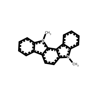 Cn1c2ccccc2c2c1ccc1c3ccccc3n(C)c12